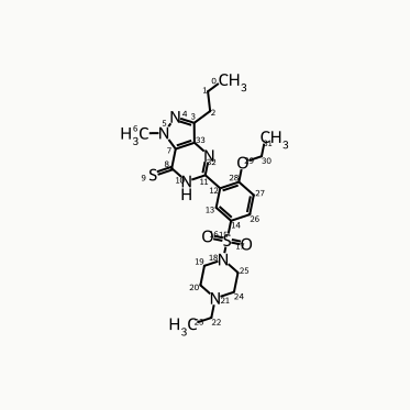 CCCc1nn(C)c2c(=S)[nH]c(-c3cc(S(=O)(=O)N4CCN(CC)CC4)ccc3OCC)nc12